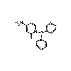 C=C1C=C(N)C=CN1P(c1ccccc1)c1ccccc1